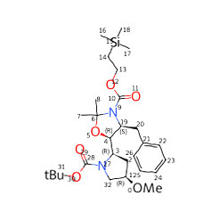 CO[C@@H]1C[C@H]([C@H]2OC(C)(C)N(C(=O)OCC[Si](C)(C)C)[C@H]2Cc2ccccc2)N(C(=O)OC(C)(C)C)C1